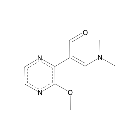 COc1nccnc1C(C=O)=CN(C)C